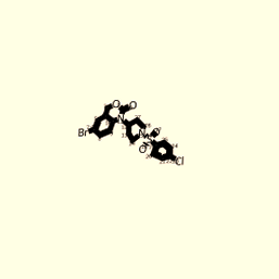 O=C1OCC2C=C(Br)C=CC2N1C1CCN(S(=O)(=O)c2ccc(Cl)cc2)CC1